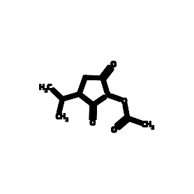 CC(=O)ON1C(=O)CC(C(C)C)C1=O